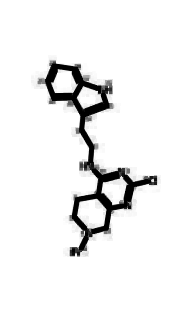 CC(C)N1CCc2c(nc(Cl)nc2NCCc2c[nH]c3ccccc23)C1